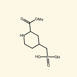 COC(=O)C1CC(CP(=O)(O)O)CCN1